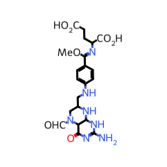 CO/C(=N\C(CCC(=O)O)C(=O)O)c1ccc(NCC2CN(C=O)C3C(=O)N=C(N)NC3N2)cc1